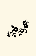 CC(=O)O[C@@H](C(=O)Nc1ccc(C#N)c(CN(C(=O)OC(C)(C)C)C(=O)OC(C)(C)C)c1)[C@H]1OCCN(c2ccc3[nH]c(=O)ccc3c2)C1=O